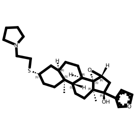 C[C@]12CC[C@H](SCCN3CCCC3)C[C@H]1CC[C@@H]1[C@@H]2CC[C@@]2(C)[C@@]13O[C@@H]3C[C@]2(O)c1ccoc1